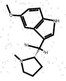 [2H]C([2H])(c1c[nH]c2ccc(OC)cc12)[C@@H]1CCCN1C